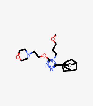 COCCCn1c(OCCN2CCOCC2)nnc1C12CC3CC(CC1C3)C2